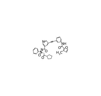 Cc1ccoc1C(=O)Nc1cccc(C#Cc2cncc(C(=O)N=[S@](=O)(CC(=O)C3CCCC3)c3ccccc3)c2)c1